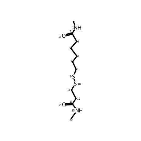 CNC(=O)CCCCCSSCCC(=O)NC